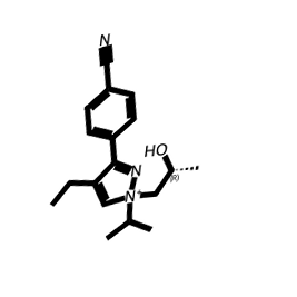 CCC1=C[N+](C[C@@H](C)O)(C(C)C)N=C1c1ccc(C#N)cc1